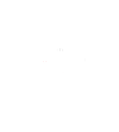 C=CC(=O)OC(CC)CCC